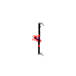 CCCCCCCCCCCCCCCCC(C(=O)CCCCCCCCCCCCC)C(=O)PC(O)C(O)CO